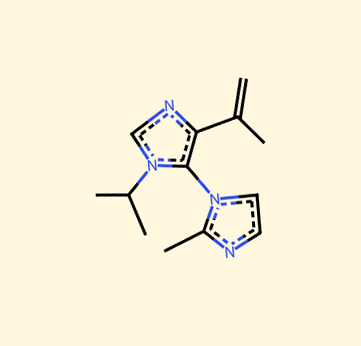 C=C(C)c1ncn(C(C)C)c1-n1ccnc1C